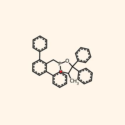 CC1OP(Cc2c(-c3ccccc3)cccc2-c2ccccc2)OC1(c1ccccc1)c1ccccc1